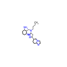 CCCCN(Cc1c(N)cccc1N)C1=NN=C(c2ccc3nccn3c2)C1